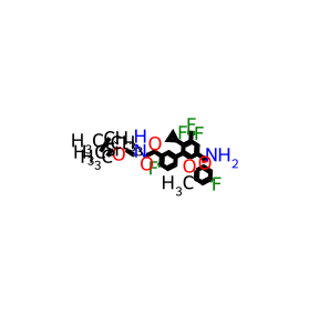 Cc1cc(F)ccc1Oc1c(C(N)=O)cc(C(F)(F)F)c(C2CC2)c1-c1ccc(F)c(C(=O)C(=O)NCCO[Si](C)(C)C(C)(C)C)c1